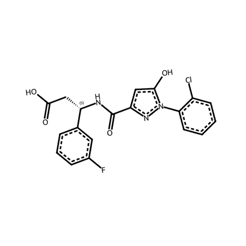 O=C(O)C[C@H](NC(=O)c1cc(O)n(-c2ccccc2Cl)n1)c1cccc(F)c1